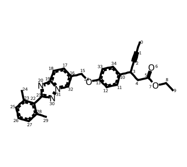 CC#CC(CC(=O)OCC)c1ccc(OCc2ccc3nc(-c4c(C)cccc4C)nn3c2)cc1